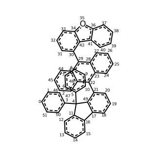 c1ccc(C2(c3ccccc3)c3ccccc3-c3cccc(-c4c5ccccc5c(-c5cccc6oc7ccccc7c56)c5ccccc45)c32)cc1